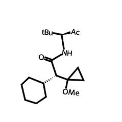 COC1([C@@H](C(=O)N[C@H](C(C)=O)C(C)(C)C)C2CCCCC2)CC1